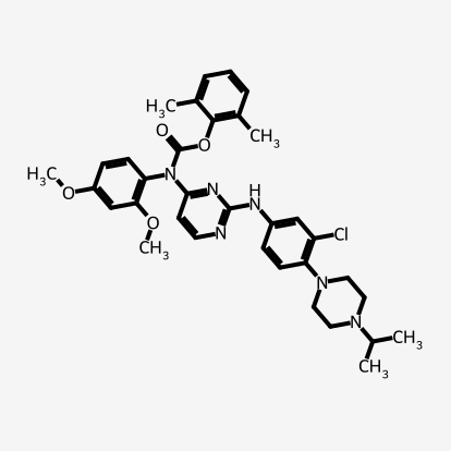 COc1ccc(N(C(=O)Oc2c(C)cccc2C)c2ccnc(Nc3ccc(N4CCN(C(C)C)CC4)c(Cl)c3)n2)c(OC)c1